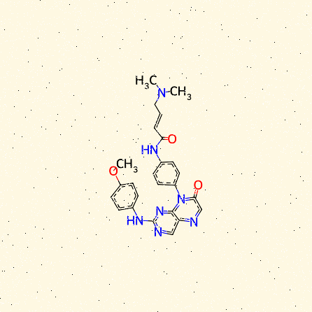 COc1ccc(Nc2ncc3ncc(=O)n(-c4ccc(NC(=O)C=CCN(C)C)cc4)c3n2)cc1